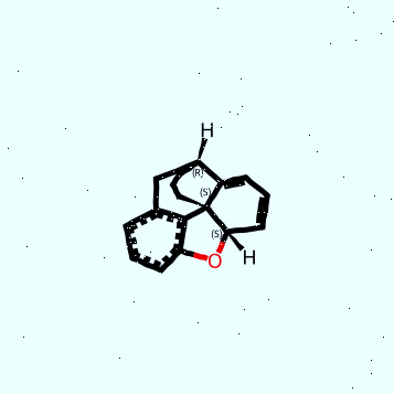 C1=C[C@@H]2Oc3cccc4c3[C@@]23CCC[C@H](C4)C3=C1